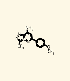 Nc1cc(-c2ccc(OC(F)(F)F)cc2)nn2c(C(F)(F)F)nnc12